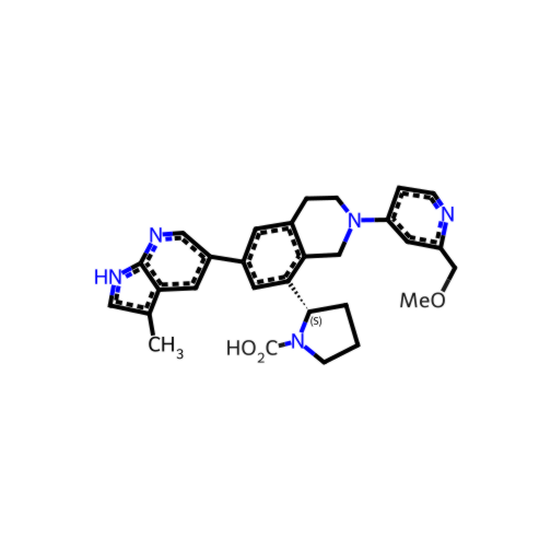 COCc1cc(N2CCc3cc(-c4cnc5[nH]cc(C)c5c4)cc([C@@H]4CCCN4C(=O)O)c3C2)ccn1